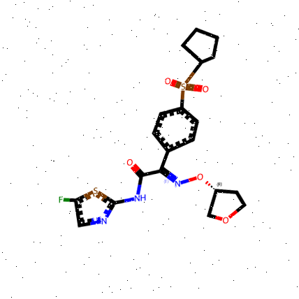 O=C(Nc1ncc(F)s1)/C(=N/O[C@@H]1CCOC1)c1ccc(S(=O)(=O)C2CCCC2)cc1